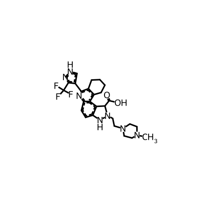 CN1CCN(CCN2Nc3ccc4nc(-c5c[nH]nc5C(F)(F)F)c5c(c4c3C2C(=O)O)CCCC5)CC1